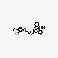 C[N+](C)(CCCOc1ccc(Cl)c(Cl)c1)Cc1cnc([C@](O)(c2ccccc2)C2CCCCC2)o1